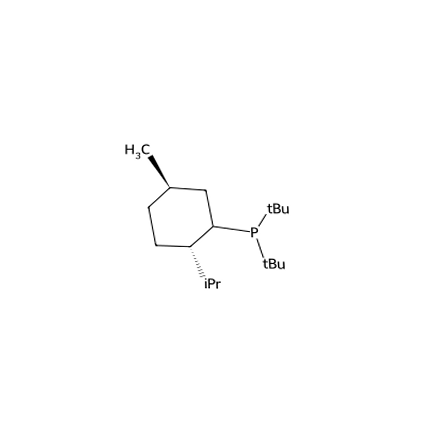 CC(C)[C@@H]1CC[C@@H](C)CC1P(C(C)(C)C)C(C)(C)C